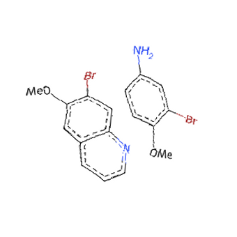 COc1cc2cccnc2cc1Br.COc1ccc(N)cc1Br